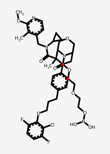 COc1nccc(CN(C(=O)C2(C)C(c3ccc(CCCOc4c(F)ccc(F)c4Cl)cc3)CC3COCC2N3C(=O)OCCOCCON(O)O)C2CC2)c1C